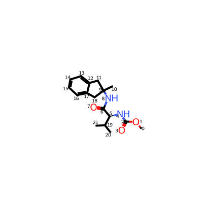 COC(=O)N[C@H](C(=O)NC1(C)Cc2ccccc2C1)C(C)C